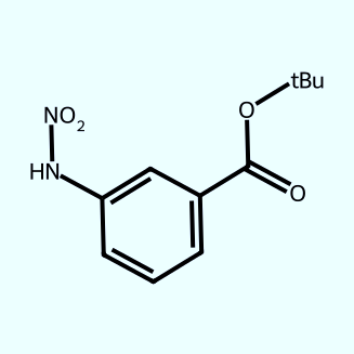 CC(C)(C)OC(=O)c1cccc(N[N+](=O)[O-])c1